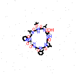 CC(C)C[C@H]1C(=O)N[C@H](C(=O)N2CCCCC2)CC(=O)N[C@H](C)C(=O)N(C)[C@@H](Cc2ccccc2)C(=O)N(C)[C@@H](CC(C)C)C(=O)N[C@@H]([C@@H](C)O)C(=O)N(C)[C@@H](CC(C)C)C(=O)N[C@@H](COC(C)(C)C)C(=O)N1C